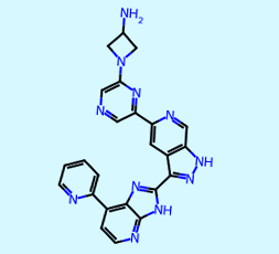 NC1CN(c2cncc(-c3cc4c(-c5nc6c(-c7ccccn7)ccnc6[nH]5)n[nH]c4cn3)n2)C1